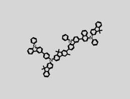 CC1CC2=C(C=C1c1ccc3c4cc(-c5ccc(N(c6ccccc6)c6ccc7c(c6)C(C)(C)c6ccccc6-7)c6ccccc56)ccc4n(-c4ccccc4)c3c1)C(C)(C)c1cc(N(c3ccc(-c4ccc5c(c4)c4ccccc4n5-c4ccccc4)cc3)c3ccc4c(c3)C(C)(C)c3ccccc3-4)ccc12